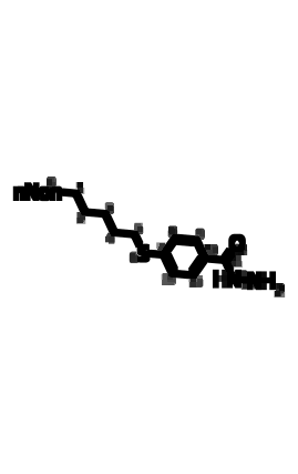 CCCCCCCCCCCCCCSc1ccc(C(=O)NN)cc1